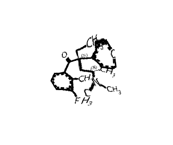 CC[C@@](C[C@H](C)N(C)C)(C(=O)c1cccc(F)c1C)c1ccccc1